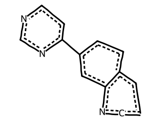 c1cnc2cc(-c3ccncn3)ccc2c1